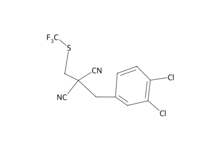 N#CC(C#N)(CSC(F)(F)F)Cc1ccc(Cl)c(Cl)c1